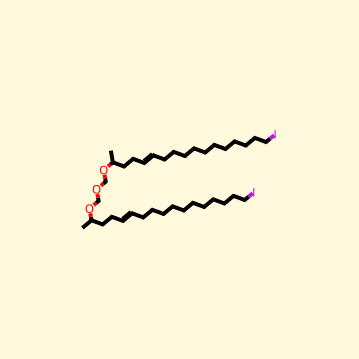 CC(CCC=CCCCCCCCCCCCI)OCOCOC(C)CCC=CCCCCCCCCCCCI